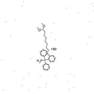 Br.COC(CCCCCCCCc1ccccc1C(P)(c1ccccc1)c1ccccc1)OC